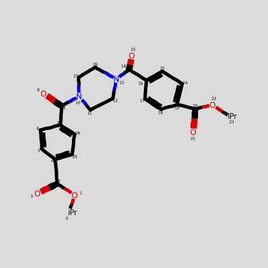 CC(C)OC(=O)c1ccc(C(=O)N2CCN(C(=O)c3ccc(C(=O)OC(C)C)cc3)CC2)cc1